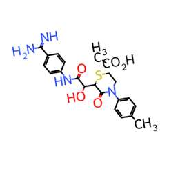 CC(=O)O.Cc1ccc(N2CCSC(C(O)C(=O)Nc3ccc(C(=N)N)cc3)C2=O)cc1